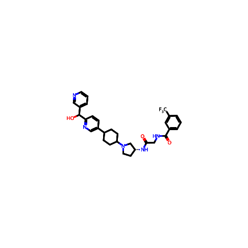 O=C(CNC(=O)c1cccc(C(F)(F)F)c1)N[C@@H]1CCN(C2CCC(c3ccc(C(O)c4cccnc4)nc3)CC2)C1